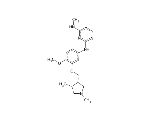 CNc1ccnc(Nc2ccc(OC)c(OCC3CN(C)CC3C)c2)n1